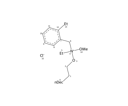 CCCCCCCCCCCCO[N+](CC)(Cc1ccccc1CC)OC.[Cl-]